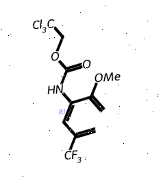 C=C(OC)/C(=C\C(=C)C(F)(F)F)NC(=O)OCC(Cl)(Cl)Cl